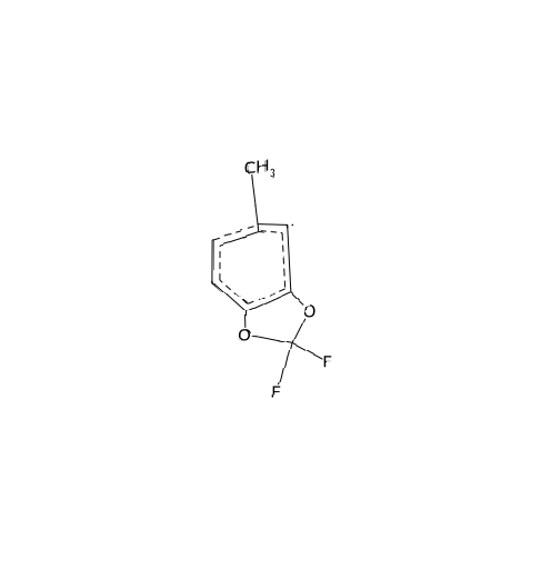 Cc1[c]c2c(cc1)OC(F)(F)O2